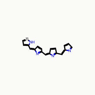 C1=CC(=CC2=NC(=CC3=NC(=CC4=C[CH]=[Tl][NH]4)C=C3)C=C2)N=C1